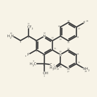 CC(C)(O)c1c(F)c(C(CN)C(F)(F)F)nc(-c2ccc(F)cc2)c1-n1ccc(N)nc1=O